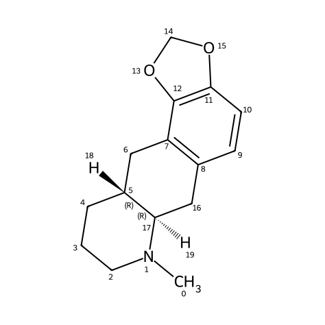 CN1CCC[C@@H]2Cc3c(ccc4c3OCO4)C[C@H]21